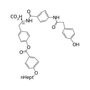 CCCCCCCOc1ccc(C(=O)Oc2ccc(C[C@H](NC(=O)c3ccc(NC(=O)Cc4ccc(O)cc4)cc3)C(=O)O)cc2)cc1